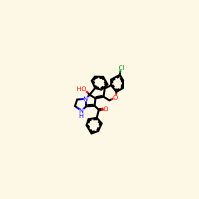 O=C(C1=C2NCCN2C(O)(c2ccccc2)/C1=C1/COc2ccc(Cl)cc2C1)c1ccccc1